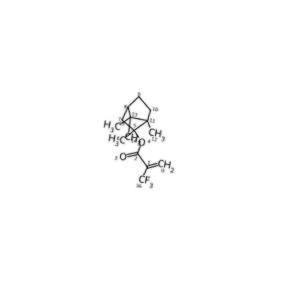 C=C(C(=O)OC1(C)CC2CCC1(C)C2(C)C)C(F)(F)F